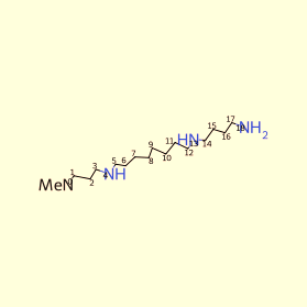 CNCCCNCCCCCCCCNCCCCN